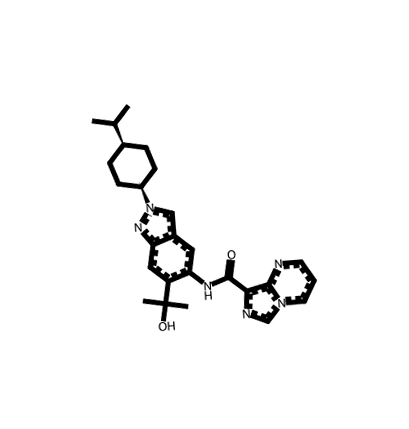 CC(C)[C@H]1CC[C@@H](n2cc3cc(NC(=O)c4ncn5cccnc45)c(C(C)(C)O)cc3n2)CC1